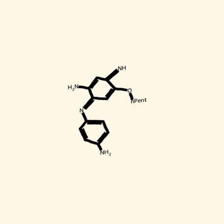 CCCCCOC1=C/C(=N\c2ccc(N)cc2)C(N)=CC1=N